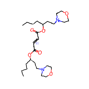 CCCCC(CCN1CCOCC1)OC(=O)/C=C/C(=O)OC(CCCC)CCN1CCOCC1